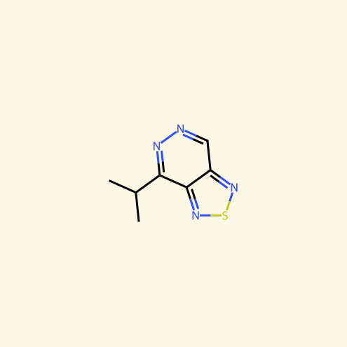 CC(C)c1nncc2nsnc12